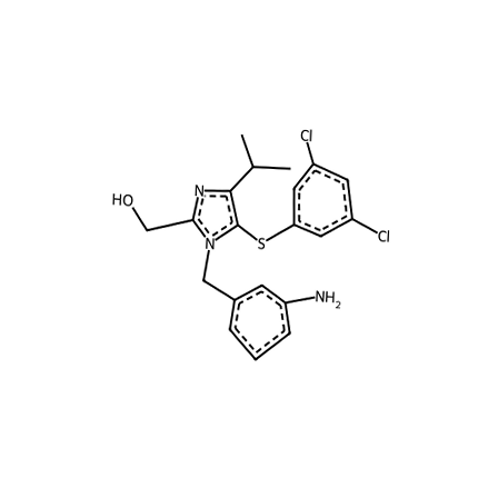 CC(C)c1nc(CO)n(Cc2cccc(N)c2)c1Sc1cc(Cl)cc(Cl)c1